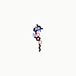 CCCCCO[C@H]1CCC(/C=N\C(=O)c2ccn3c(C)cc(C)nc23)C1